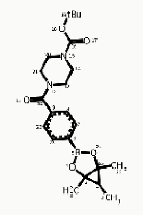 CC1C2(C)OB(c3ccc(C(=O)N4CCN(C(=O)OC(C)(C)C)CC4)cc3)OC12C